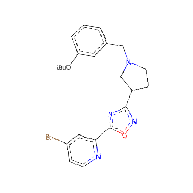 CC(C)COc1cccc(CN2CCC(c3noc(-c4cc(Br)ccn4)n3)C2)c1